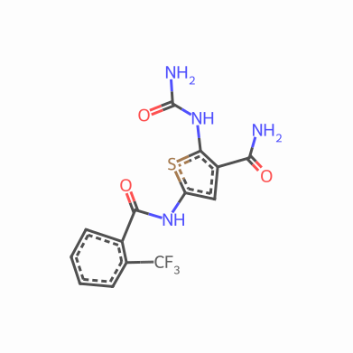 NC(=O)Nc1sc(NC(=O)c2ccccc2C(F)(F)F)cc1C(N)=O